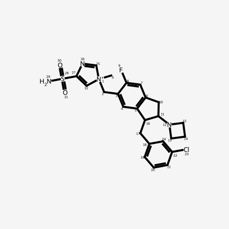 C[N+]1(Cc2cc3c(cc2F)CC(N2CCC2)C3Cc2cccc(Cl)c2)C=NC(S(N)(=O)=O)=C1